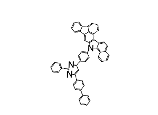 c1ccc(-c2ccc(-c3cc(-c4ccc(-n5c6cc7c8c(cccc8c6c6ccc8ccccc8c65)-c5ccccc5-7)cc4)nc(-c4ccccc4)n3)cc2)cc1